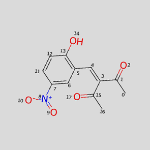 CC(=O)C(=Cc1cc([N+](=O)[O-])ccc1O)C(C)=O